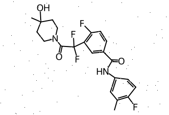 Cc1cc(NC(=O)c2ccc(F)c(C(F)(F)C(=O)N3CCC(C)(O)CC3)c2)ccc1F